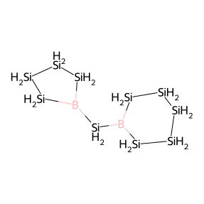 [SiH2]1[SiH2][SiH2]B([SiH2]B2[SiH2][SiH2][SiH2][SiH2]2)[SiH2][SiH2]1